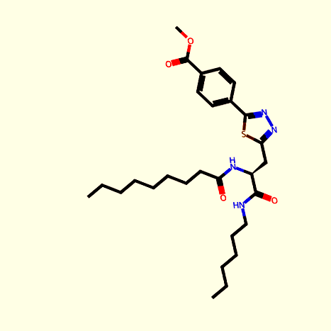 CCCCCCCCC(=O)N[C@@H](Cc1nnc(-c2ccc(C(=O)OC)cc2)s1)C(=O)NCCCCCC